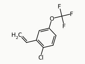 C=Cc1cc(OC(F)(F)F)ccc1Cl